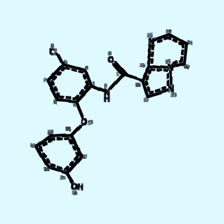 O=C(Nc1cc(Cl)ccc1Oc1cccc(O)c1)c1cnn2cccnc12